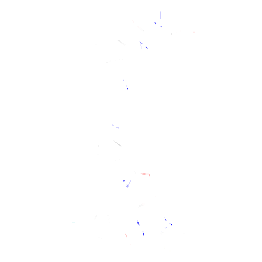 O=C1CCN(c2ccccc2CN2CCN(c3ccc4c(c3)C(=O)N(C(C(=O)Nc3nccs3)c3cc(F)ccc3O)C4)CC2)C(=O)N1